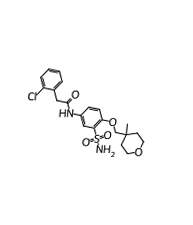 CC1(COc2ccc(NC(=O)Cc3ccccc3Cl)cc2S(N)(=O)=O)CCOCC1